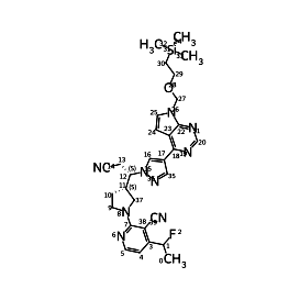 CC(F)c1ccnc(N2CC[C@H]([C@H](CC#N)n3cc(-c4ncnc5c4ccn5COCC[Si](C)(C)C)cn3)C2)c1C#N